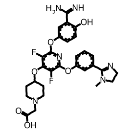 CN1CCN=C1c1cccc(Oc2nc(Oc3ccc(O)c(C(=N)N)c3)c(F)c(OC3CCN(CC(=O)O)CC3)c2F)c1